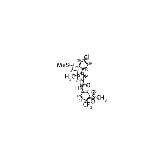 CSCCCC1(C)CN(C(=O)Nc2ccc(C(F)(F)F)c(S(C)(=O)=O)c2)N=C1c1ccc(Cl)cc1